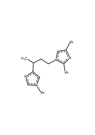 CC(C)c1cn(CCC(C)c2cn(C(C)C)cn2)c(C(C)C)n1